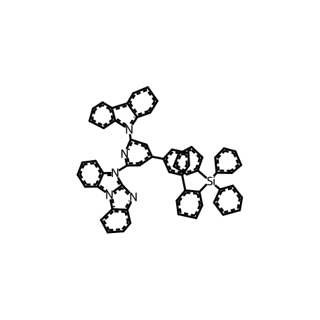 c1ccc([Si](c2ccccc2)(c2ccccc2)c2ccccc2-c2cccc(-c3cc(-n4c5ccccc5c5ccccc54)nc(-n4c5ccccc5n5c6ccccc6nc45)c3)c2)cc1